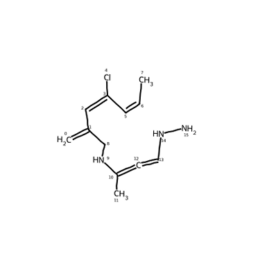 C=C(/C=C(Cl)\C=C/C)CNC(C)=C=CNN